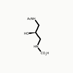 CC(=O)NC[C@H](O)CNC(=O)O